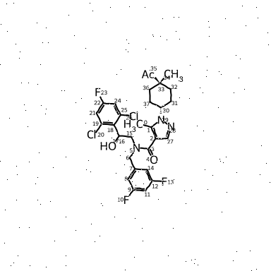 Cc1c(C(=O)N(Cc2cc(F)cc(F)c2)CC(O)c2c(Cl)cc(F)cc2Cl)cnn1[C@H]1CC[C@](C)(C(C)=O)CC1